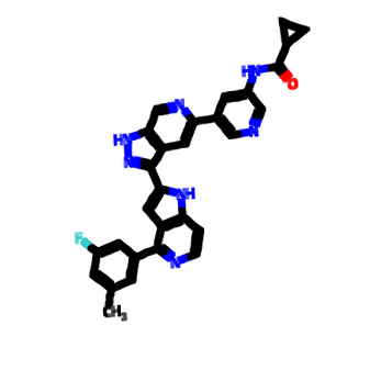 Cc1cc(F)cc(-c2nccc3[nH]c(-c4n[nH]c5cnc(-c6cncc(NC(=O)C7CC7)c6)cc45)cc23)c1